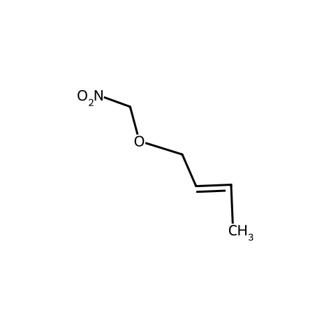 CC=CCOC[N+](=O)[O-]